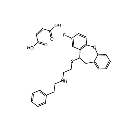 Fc1ccc2c(c1)C(SCCNCCc1ccccc1)Cc1ccccc1O2.O=C(O)/C=C\C(=O)O